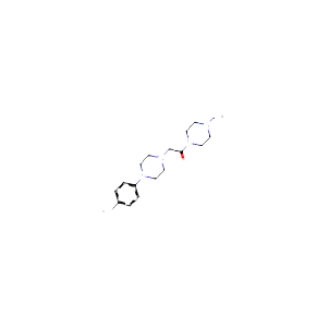 CCC(C)N1CCN(C(=O)CN2CCN(c3ccc(C(C)=O)cc3)CC2)CC1